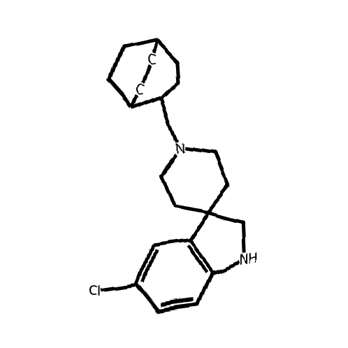 Clc1ccc2c(c1)C1(CCN(C3CCC4CCC3CC4)CC1)CN2